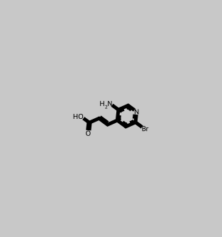 Nc1cnc(Br)cc1C=CC(=O)O